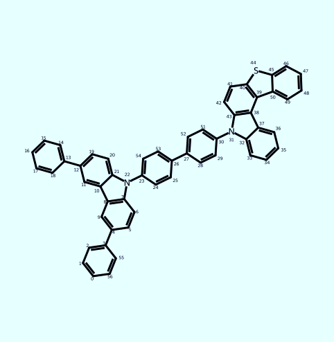 c1ccc(-c2ccc3c(c2)c2cc(-c4ccccc4)ccc2n3-c2ccc(-c3ccc(-n4c5ccccc5c5c6c(ccc54)sc4ccccc46)cc3)cc2)cc1